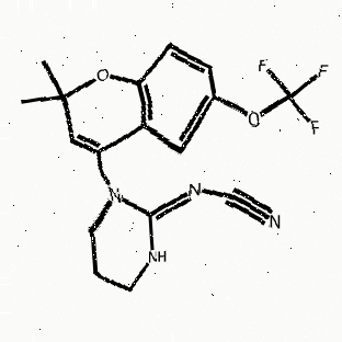 CC1(C)C=C(N2CCCNC2=NC#N)c2cc(OC(F)(F)F)ccc2O1